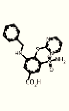 NS(=O)(=O)c1cc(C(=O)O)cc(NCc2ccccc2)c1Sc1ncccn1